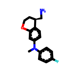 CN(c1ccc(F)cc1)c1ccc2c(c1)OCC[C@H]2CN